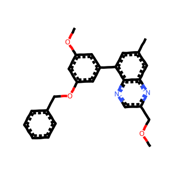 COCc1cnc2c(-c3cc(OC)cc(OCc4ccccc4)c3)cc(C)cc2n1